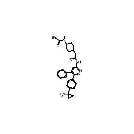 CC(C)C(=O)N(C)C1CCC(CC(=O)Nc2cc(-c3ccccc3)c(-c3ccc(C4(N)CC4)cc3)nn2)CC1